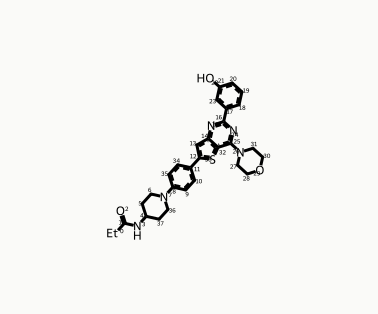 CCC(=O)NC1CCN(c2ccc(-c3cc4nc(-c5cccc(O)c5)nc(N5CCOCC5)c4s3)cc2)CC1